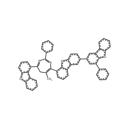 CC1=C(c2cccc3c2oc2ccc(-c4cc(-c5ccccc5)c5oc6ccccc6c5c4)cc23)N=C(c2ccccc2)N=C(c2cccc3oc4ccccc4c23)C1